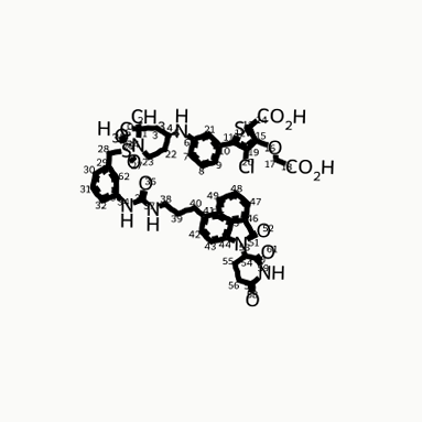 CC1(C)C[C@@H](Nc2cccc(-c3sc(C(=O)O)c(OCC(=O)O)c3Cl)c2)CCN1S(=O)(=O)Cc1cccc(NC(=O)NCCCc2ccc3c4c(cccc24)C(=O)N3C2CCC(=O)NC2=O)c1